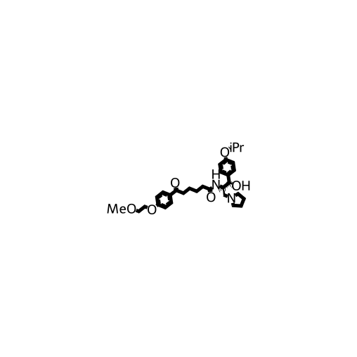 COCCOc1ccc(C(=O)CCCCC(=O)N[C@H](CN2CCCC2)[C@H](O)c2ccc(OC(C)C)cc2)cc1